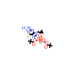 CC(C)(C)C(=O)OCOP(=O)(COC1(Cn2cnc3c(F)nc(N)nc32)CC1)OCOC(=O)C(C)(C)C